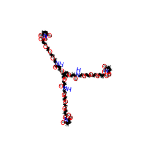 CCC(COCCC(=O)NCCOCCOCCOCCC(=O)ON1C(=O)CCC1=O)(COCCC(=O)NCCOCCOCCOCCC(=O)ON1C(=O)CCC1=O)COCCC(=O)NCCOCCOCCOCCC(=O)ON1C(=O)CCC1=O